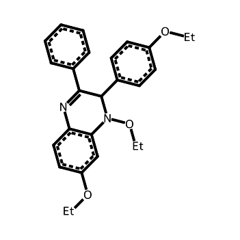 CCOc1ccc(C2C(c3ccccc3)=Nc3ccc(OCC)cc3N2OCC)cc1